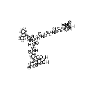 CC(C)(SCC(=O)NCCCCCNC(=O)CCCC[C@@H]1SC[C@@H]2NC(=O)N[C@@H]21)[C@H](NC(=O)OCC1c2ccccc2-c2ccccc21)C(=O)NCCNC(=O)c1ccc(-c2c3ccc(=O)cc-3oc3cc(O)ccc23)c(C(=O)O)c1